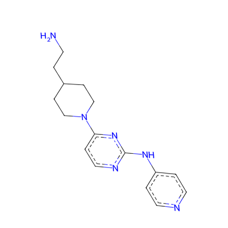 NCCC1CCN(c2ccnc(Nc3ccncc3)n2)CC1